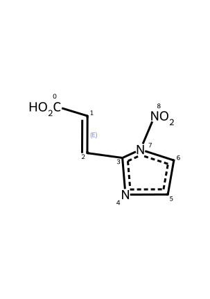 O=C(O)/C=C/c1nccn1[N+](=O)[O-]